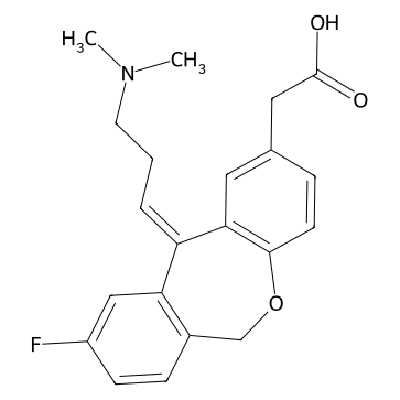 CN(C)CC/C=C1/c2cc(F)ccc2COc2ccc(CC(=O)O)cc21